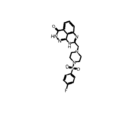 O=c1[nH]nc2c3c(cccc13)N=C(CN1CCN(S(=O)(=O)c3ccc(F)cc3)CC1)N2